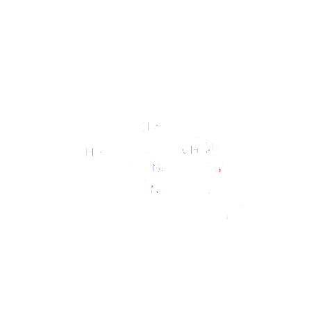 CCCCc1ncc(/C(C)=C(\Cc2ccccc2)C(=O)O)n1Cc1ccccc1Cl